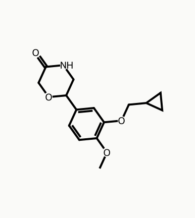 COc1ccc(C2CNC(=O)CO2)cc1OCC1CC1